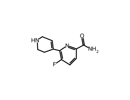 NC(=O)c1ccc(F)c(C2=CCNCC2)n1